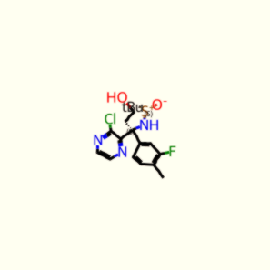 Cc1ccc([C@](CCO)(N[S@+]([O-])C(C)(C)C)c2nccnc2Cl)cc1F